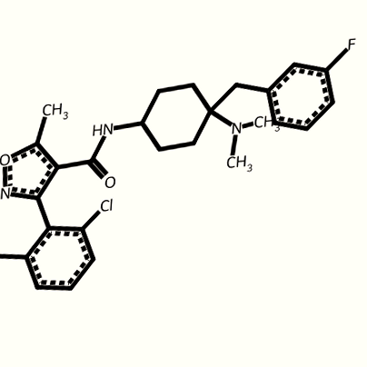 Cc1onc(-c2c(F)cccc2Cl)c1C(=O)NC1CCC(Cc2cccc(F)c2)(N(C)C)CC1